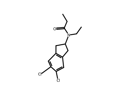 CCC(=O)N(CC)C1Cc2cc(Cl)c(Cl)cc2C1